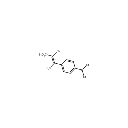 CCOC(=O)/C(C#N)=C(\N)c1ccc(N(CC)CC)cc1